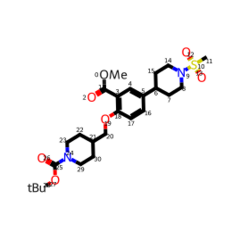 COC(=O)c1cc(C2CCN(S(C)(=O)=O)CC2)ccc1OCC1CCN(C(=O)OC(C)(C)C)CC1